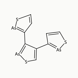 C1=CC(C2=CS[As]=C2C2=[As]SC=C2)=[As]S1